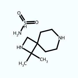 CC1(C)NCC12CCNCC2.N[SH](=O)=O